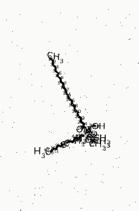 CCCCCCCCCCCCCCCCCCCCCCCCCC(=O)N1[C@@H](CO)[C@H](O[Si](C)(C)C(C)(C)C)[C@@H]1CCCCCCCCCCCCCC